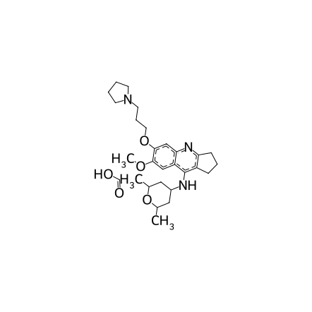 COc1cc2c(NC3CC(C)OC(C)C3)c3c(nc2cc1OCCCN1CCCC1)CCC3.O=CO